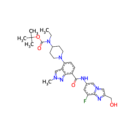 CCN(C(=O)OC(C)(C)C)C1CCN(c2ccc(C(=O)Nc3cc(F)c4nc(CO)cn4c3)c3nn(C)cc23)CC1